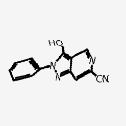 N#Cc1cc2nn(-c3ccccc3)c(O)c2cn1